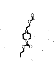 CCCOC(=O)N1CCN(CCO[C]=O)CC1